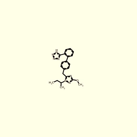 CCC(C)n1nc(OC)nc1Cc1ccc(-c2ccccc2-c2nnn[nH]2)cc1